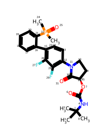 CC(C)(C)NC(=O)O[C@@H]1CCN(c2ccc(-c3ccccc3P(C)(C)=O)c(F)c2F)C1=O